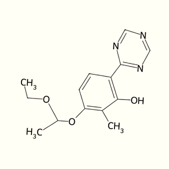 CCOC(C)Oc1ccc(-c2ncncn2)c(O)c1C